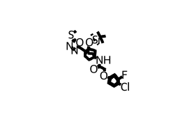 CSc1nnc(C23CCC(NC(=O)COc4ccc(Cl)c(F)c4)(CC2)CC3O[Si](C)(C)C(C)(C)C)o1